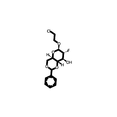 O[C@@H]1[C@@H](F)[C@H](OCCCl)O[C@@H]2COC(c3ccccc3)O[C@@H]12